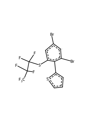 FC(F)(F)C(F)(F)C(F)(F)Sc1cc(Br)[c]c(Br)c1-c1cccs1